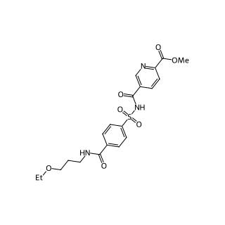 CCOCCCNC(=O)c1ccc(S(=O)(=O)NC(=O)c2ccc(C(=O)OC)nc2)cc1